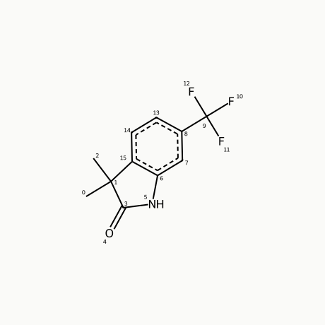 CC1(C)C(=O)Nc2cc(C(F)(F)F)ccc21